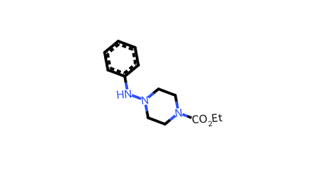 CCOC(=O)N1CCN(Nc2ccccc2)CC1